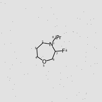 CC(C)N1CCCOCC1F